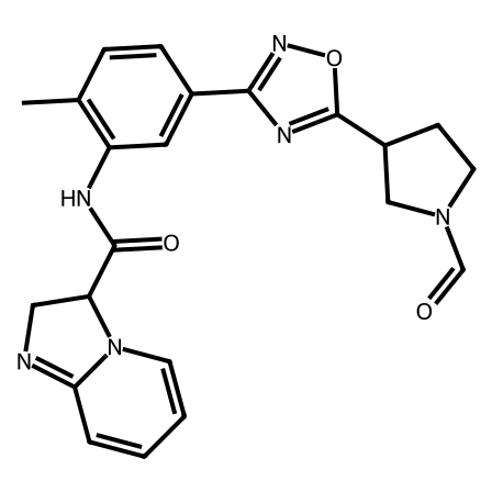 Cc1ccc(-c2noc(C3CCN(C=O)C3)n2)cc1NC(=O)C1CN=C2C=CC=CN21